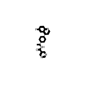 CC(NC(=O)c1cncnc1)[C@H]1CC[C@@H](c2ccnc3ccc(F)cc32)CC1